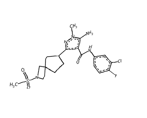 Cn1nc(C2CCC3(C2)CN(S(C)(=O)=O)C3)c(C(=O)Nc2ccc(F)c(Cl)c2)c1N